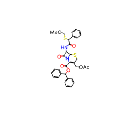 COCSC(C(=O)NC1C(=O)N2C(C(=O)OC(c3ccccc3)c3ccccc3)=C(COC(C)=O)CSC12)c1ccccc1